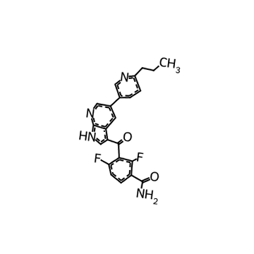 CCCc1ccc(-c2cnc3[nH]cc(C(=O)c4c(F)ccc(C(N)=O)c4F)c3c2)cn1